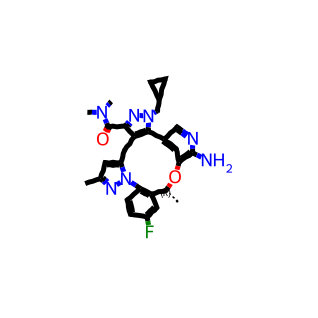 Cc1cc2n(n1)-c1ccc(F)cc1[C@@H](C)Oc1cc(cnc1N)-c1c(c(C(=O)N(C)C)nn1CC1CC1)C2